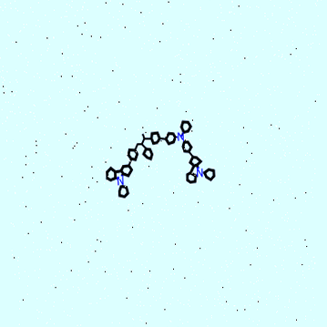 CC(c1ccc(-c2ccc(N(c3ccccc3)c3ccc(-c4ccc5c(c4)c4ccccc4n5-c4ccccc4)cc3)cc2)cc1)C(Cc1ccc(-c2ccc3c(c2)c2ccccc2n3-c2ccccc2)cc1)c1ccccc1